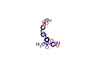 Cn1c(=O)n(C2CCC(=O)NC2=O)c2ccc(N3CCN(CC4CCN(C(=O)OC(C)(C)C)CC4)CC3)cc21